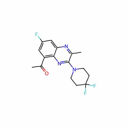 CC(=O)c1cc(F)cc2nc(C)c(N3CCC(F)(F)CC3)nc12